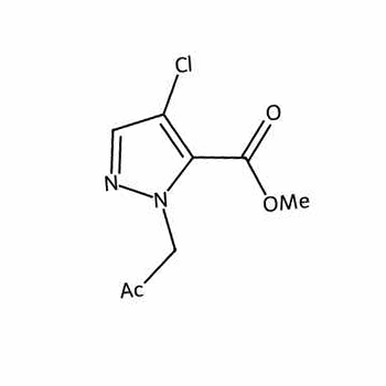 COC(=O)c1c(Cl)cnn1CC(C)=O